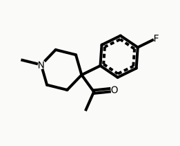 CC(=O)C1(c2ccc(F)cc2)CCN(C)CC1